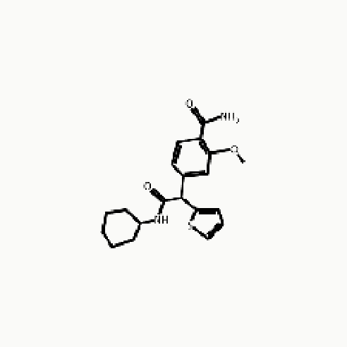 COc1cc(C(C(=O)NC2CCCCC2)c2cccs2)ccc1C(N)=O